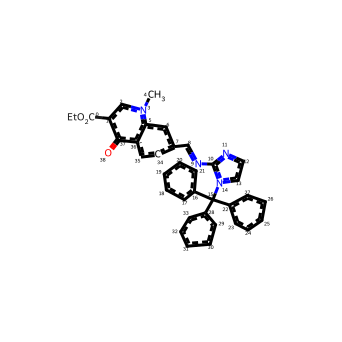 CCOC(=O)c1cn(C)c2cc(/C=N/c3nccn3C(c3ccccc3)(c3ccccc3)c3ccccc3)ccc2c1=O